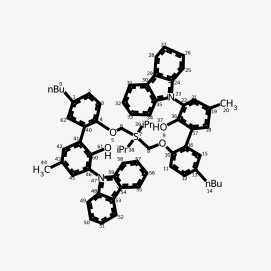 CCCCc1ccc(OCS(COc2ccc(CCCC)cc2-c2cc(C)cc(-n3c4ccccc4c4ccccc43)c2O)(C(C)C)C(C)C)c(-c2cc(C)cc(-n3c4ccccc4c4ccccc43)c2O)c1